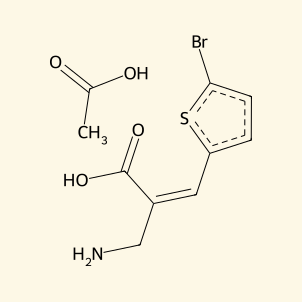 CC(=O)O.NCC(=Cc1ccc(Br)s1)C(=O)O